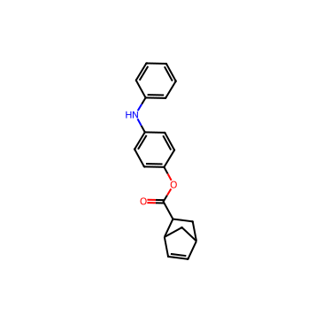 O=C(Oc1ccc(Nc2ccccc2)cc1)C1CC2C=CC1C2